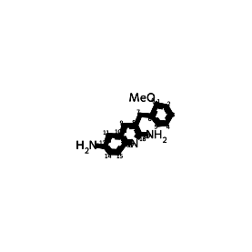 COc1ccccc1Cc1cc2cc(N)ccc2nc1N